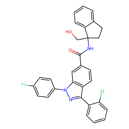 O=C(NC1(CO)CCc2ccccc21)c1ccc2c(-c3ccccc3Cl)nn(-c3ccc(F)cc3)c2c1